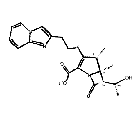 C[C@@H](O)[C@@H]1C(=O)N2C(C(=O)O)=C(SCCc3cn4ccccc4n3)[C@H](C)[C@@H]12